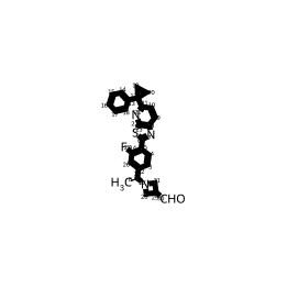 C[C@H](c1ccc(-c2nc3ccc(C4(c5ccccc5)CC4)nc3s2)c(F)c1)N1CC(C=O)C1